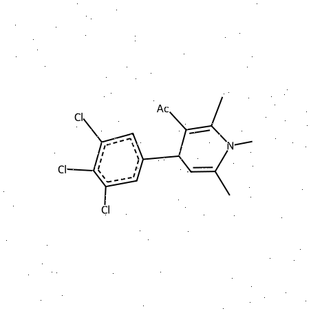 CC(=O)C1=C(C)N(C)C(C)=[C]C1c1cc(Cl)c(Cl)c(Cl)c1